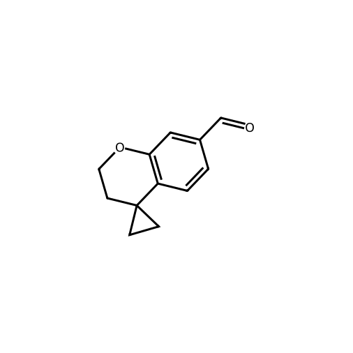 O=Cc1ccc2c(c1)OCCC21CC1